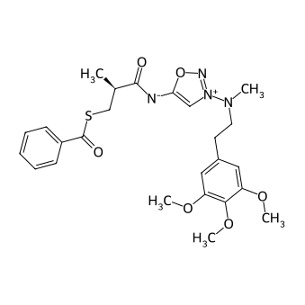 COc1cc(CCN(C)[n+]2cc([N-]C(=O)[C@H](C)CSC(=O)c3ccccc3)on2)cc(OC)c1OC